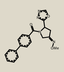 CON=C1CC(c2nnco2)N(C(=O)c2ccc(-c3ccccc3)cc2)C1